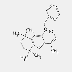 C/C(=C/C#N)c1cc2c(cc1OCc1ccccc1)C(C)(C)CCC2(C)C